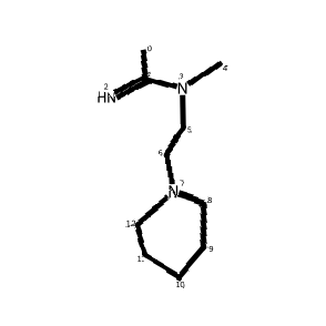 CC(=N)N(C)CCN1CCCCC1